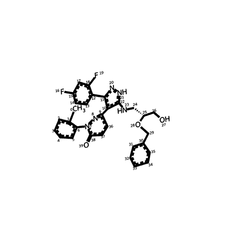 Cc1ccccc1-n1nc(-c2c(-c3ccc(F)cc3F)n[nH]c2NC[C@H](CO)OCc2ccccc2)ccc1=O